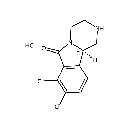 Cl.O=C1c2c(ccc(Cl)c2Cl)[C@@H]2CNCCN12